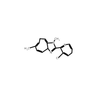 CC1=C\C/C=C2\C(/C=C\1)N=C(C1=NC=CCC=C1Cl)N2C